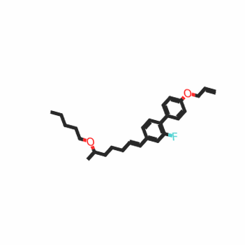 C=CCOc1ccc(-c2ccc(/C=C/CCCC(C)OCCCCC)cc2F)cc1